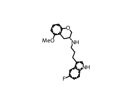 COc1cccc2c1C[C@H](NCCCc1c[nH]c3ccc(F)cc13)CO2